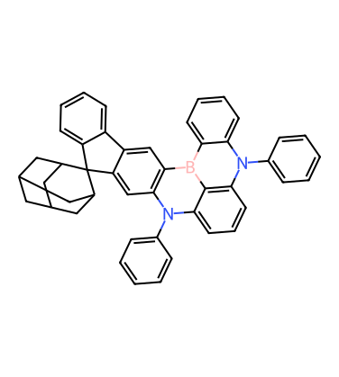 c1ccc(N2c3ccccc3B3c4cc5c(cc4N(c4ccccc4)c4cccc2c43)C2(c3ccccc3-5)C3CC4CC(C3)CC2C4)cc1